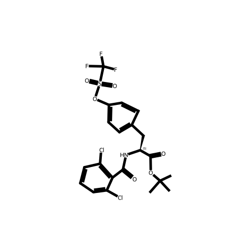 CC(C)(C)OC(=O)[C@H](Cc1ccc(OS(=O)(=O)C(F)(F)F)cc1)NC(=O)c1c(Cl)cccc1Cl